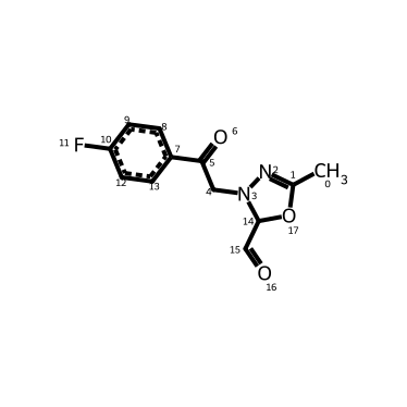 CC1=NN(CC(=O)c2ccc(F)cc2)C(C=O)O1